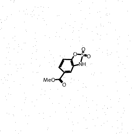 COC(=O)c1ccc2c(c1)NS(=O)(=O)O2